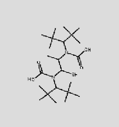 CC(C(S)N(C(=O)O)C(C(C)(C)C)C(C)(C)C)N(C(=O)O)C(C(C)(C)C)C(C)(C)C